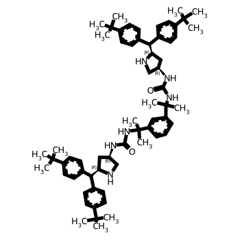 CC(C)(C)c1ccc(C(c2ccc(C(C)(C)C)cc2)[C@H]2C[C@@H](NC(=O)NC(C)(C)c3cccc(C(C)(C)NC(=O)N[C@H]4CN[C@@H](C(c5ccc(C(C)(C)C)cc5)c5ccc(C(C)(C)C)cc5)C4)c3)CN2)cc1